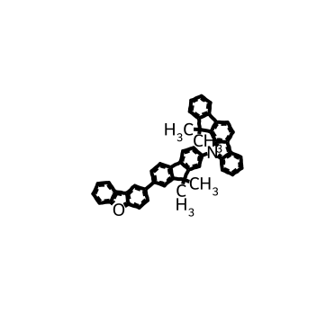 CC1(C)c2cc(-c3ccc4oc5ccccc5c4c3)ccc2-c2ccc(-n3c4ccccc4c4ccc5c(c43)C(C)(C)c3ccccc3-5)cc21